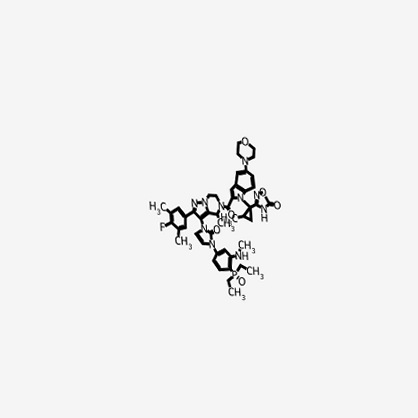 CCP(=O)(CC)c1ccc(-n2ccn(-c3c(-c4cc(C)c(F)c(C)c4)nn4c3C(C)N(C(=O)c3cc5cc(N6CCOCC6)ccc5n3C3(c5noc(=O)[nH]5)CC3C)CC4)c2=O)cc1NC